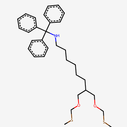 CSCOCC(CCCCCCNC(c1ccccc1)(c1ccccc1)c1ccccc1)COCSC